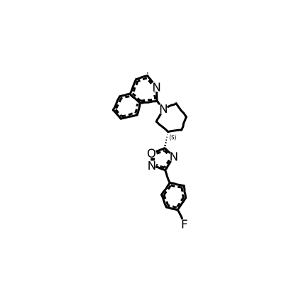 Fc1ccc(-c2noc([C@H]3CCCN(c4n[c]cc5ccccc45)C3)n2)cc1